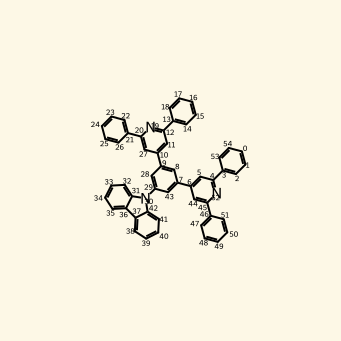 c1ccc(-c2cc(-c3cc(-c4cc(-c5ccccc5)nc(-c5ccccc5)c4)cc(-n4c5ccccc5c5ccccc54)c3)cc(-c3ccccc3)n2)cc1